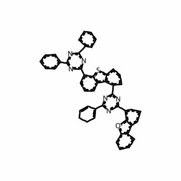 C1=CC(c2nc(-c3cccc4c3oc3ccccc34)nc(-c3cccc4sc5c(-c6nc(-c7ccccc7)nc(-c7ccccc7)n6)cccc5c34)n2)=CCC1